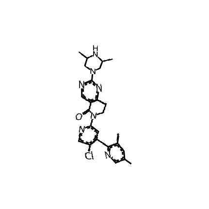 Cc1cnc(-c2cc(N3CCc4nc(N5CC(C)NC(C)C5)ncc4C3=O)ncc2Cl)c(C)c1